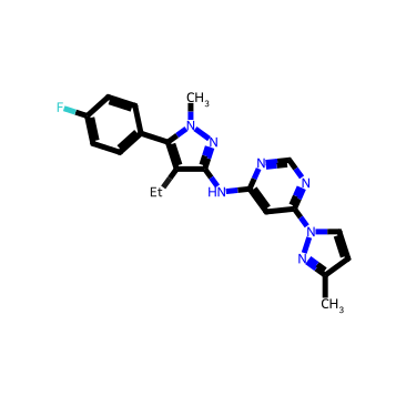 CCc1c(Nc2cc(-n3ccc(C)n3)ncn2)nn(C)c1-c1ccc(F)cc1